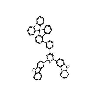 C1=CCC2Oc3ccc(-c4nc(-c5cccc(-c6cccc7c6-c6ccccc6C76c7ccccc7-c7ccccc76)c5)nc(-c5ccc6oc7ccccc7c6c5)n4)cc3C2=C1